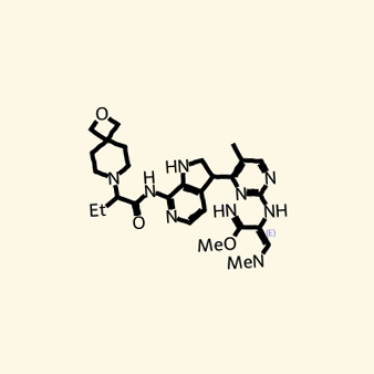 CCC(C(=O)Nc1nccc2c1NCC2c1nc(N/C(=C/NC)C(=N)OC)ncc1C)N1CCC2(CC1)COC2